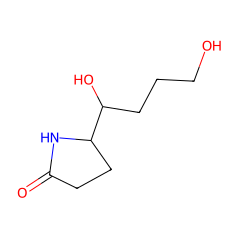 O=C1CCC(C(O)CCCO)N1